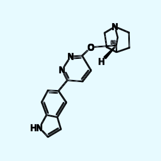 c1cc2cc(-c3ccc(O[C@@H]4CN5CCC4CC5)nn3)ccc2[nH]1